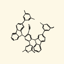 Cc1cc(C)cc(-c2ccc3c4ccccc4n(-c4cc(-c5cc(C)nc(C)c5)c(-n5c6ccccc6c6ccc(-c7cc(C)cc(C)c7)cc65)cc4C#N)c3c2)c1